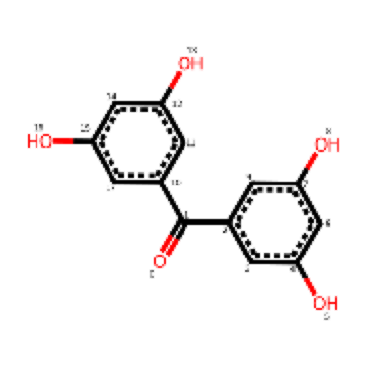 O=C(c1cc(O)cc(O)c1)c1cc(O)cc(O)c1